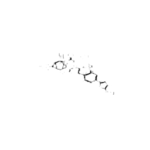 C[C@H]1C2C1[C@@H]1C[C@H]2[C@@H](C(=O)N[C@H](C#N)Cc2ccc(-c3ccc(C#N)s3)cc2F)N1C(=O)OC(C)(C)C